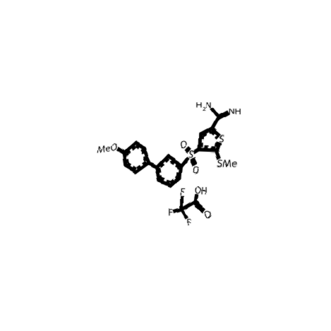 COc1ccc(-c2cccc(S(=O)(=O)c3cc(C(=N)N)sc3SC)c2)cc1.O=C(O)C(F)(F)F